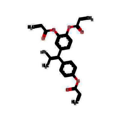 C=CC(=O)Oc1ccc(/C(=C(\C)CCC)c2ccc(OC(=O)C=C)c(OC(=O)C=C)c2)cc1